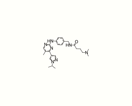 Cc1cnc(Nc2ccc(CNC(=O)CCCN(C)C)cc2)nc1-c1cnn(C(C)C)c1